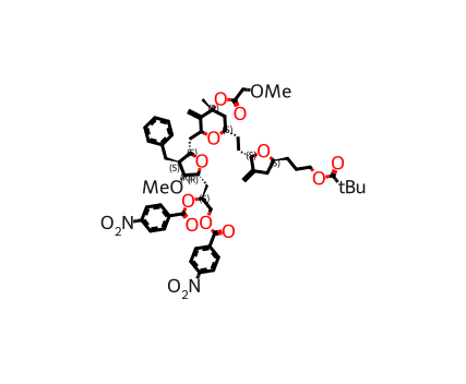 C=C1C[C@H](CCCOC(=O)C(C)(C)C)O[C@H]1CC[C@H]1C[C@@](C)(OC(=O)COC)C(=C)C(C[C@@H]2O[C@H](C[C@@H](COC(=O)c3ccc([N+](=O)[O-])cc3)OC(=O)c3ccc([N+](=O)[O-])cc3)[C@H](OC)[C@H]2Cc2ccccc2)O1